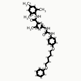 Cc1cc(C)c(NC(=O)c2sc(NC(=O)Nc3ccc(OCCCCCOc4ccccc4)cc3)nc2C)c(C)c1